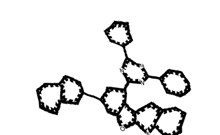 c1ccc(-c2nc(-c3ccccc3)nc(-c3cc(-c4ccc5ccccc5c4)cc4oc5nc6ccccc6cc5c34)n2)cc1